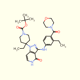 CCc1cc(Nc2nn(C3(CC)CCN(C(=O)OC(C)(C)C)CC3)c3cc[nH]c(=O)c23)ccc1C(=O)N1CCOCC1